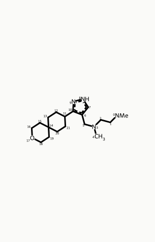 CNCCN(C)Cc1c[nH]nc1C1CCC2(CCOCC2)CC1